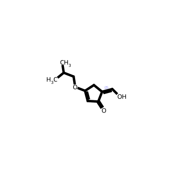 CC(C)COC1=CC(=O)/C(=C\O)C1